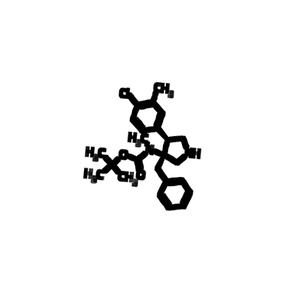 Cc1cc([C@H]2CNC[C@]2(Cc2ccccc2)N(C)C(=O)OC(C)(C)C)ccc1Cl